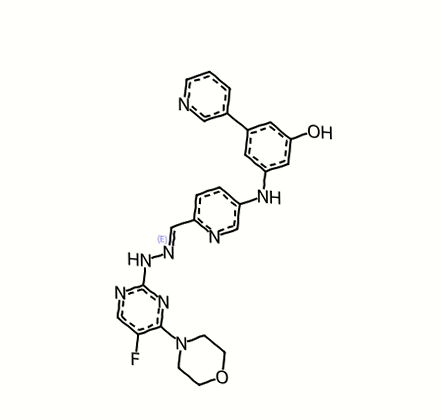 Oc1cc(Nc2ccc(/C=N/Nc3ncc(F)c(N4CCOCC4)n3)nc2)cc(-c2cccnc2)c1